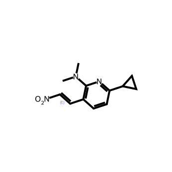 CN(C)c1nc(C2CC2)ccc1/C=C/[N+](=O)[O-]